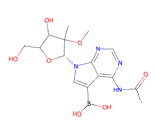 COC1(C)C(O)C(CO)O[C@H]1n1cc(B(O)O)c2c(NC(C)=O)ncnc21